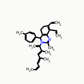 C=CC1=C(C=C)C2=C(CC1)C(C1=CCC=C(C)C=C1)N(C(=C)/C(C)=C/C(C)=C/C=C\C)C(C)=N2